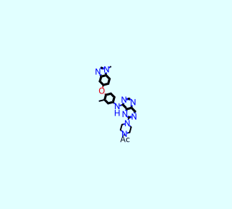 CC(=O)N1CCN(c2ncc3ncnc(Nc4ccc(Oc5ccc6c(c5)ncn6C)c(C)c4)c3n2)CC1